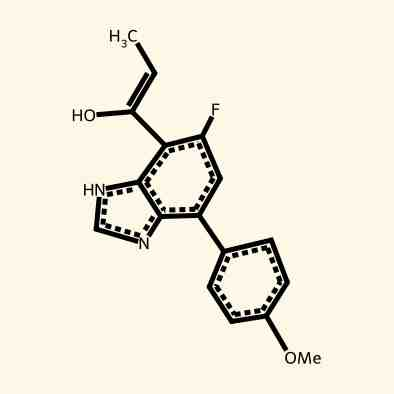 CC=C(O)c1c(F)cc(-c2ccc(OC)cc2)c2nc[nH]c12